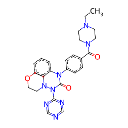 CCN1CCN(C(=O)c2ccc(N(C(=O)N(c3ncncn3)N3CCOCC3)c3ccccc3)cc2)CC1